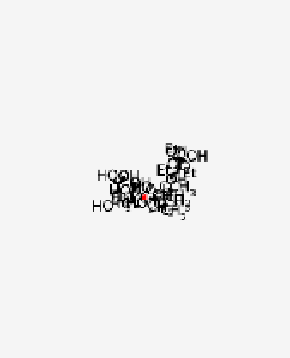 C=C(C)C(=O)O.C=C(C)C(=O)O.C=C(C)C(=O)O.C=CC(=O)O.CCOC(CO)(CO)C(CCO)(OCC)OCC.OCC(O)CO.OCCCC(CO)CO